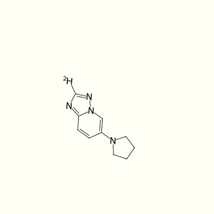 [2H]c1nc2ccc(N3CCCC3)cn2n1